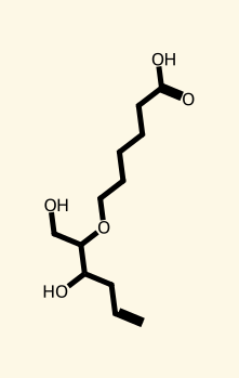 C=CCC(O)C(CO)OCCCCCC(=O)O